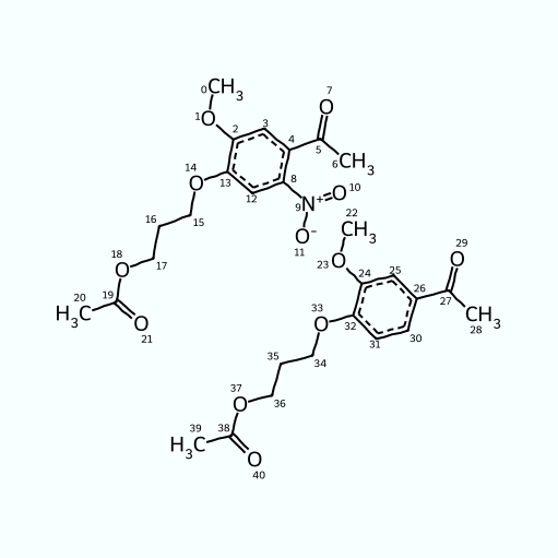 COc1cc(C(C)=O)c([N+](=O)[O-])cc1OCCCOC(C)=O.COc1cc(C(C)=O)ccc1OCCCOC(C)=O